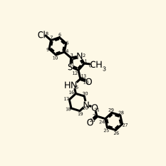 Cc1nc(-c2ccc(Cl)cc2)sc1C(=O)NC1CCCN(OC(=O)c2ccccc2)C1